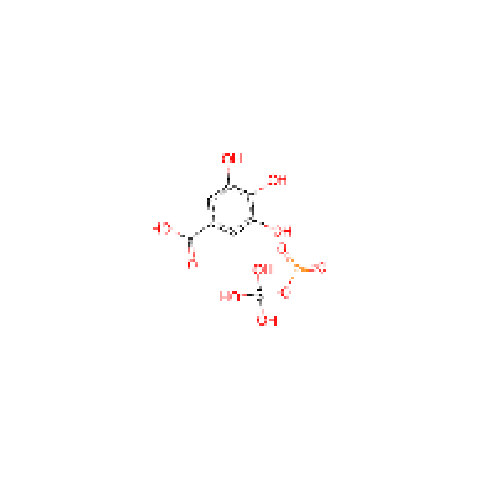 O=C(O)c1cc(O)c(O)c(O)c1.O=P(=O)O[Si](O)(O)O